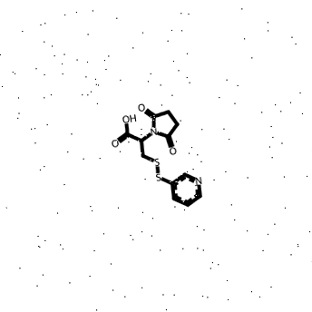 O=C(O)C(CSSc1cccnc1)N1C(=O)CCC1=O